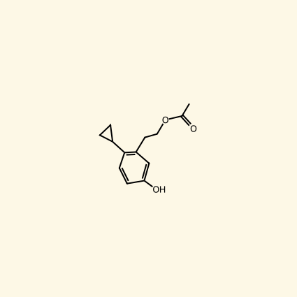 CC(=O)OCCc1cc(O)ccc1C1CC1